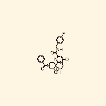 O=C(NCc1ccc(F)cc1)c1cc(=O)n2c(n1)C1(CCN(C(=O)c3ccccc3)CC1O)OCC2